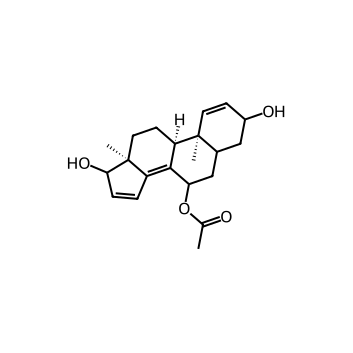 CC(=O)OC1CC2CC(O)C=C[C@]2(C)[C@@H]2CC[C@@]3(C)C(=C12)C=CC3O